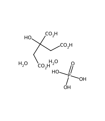 O.O.O=C(O)CC(O)(CC(=O)O)C(=O)O.O=P(O)(O)O